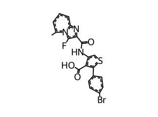 Cc1cccc2nc(C(=O)Nc3csc(-c4ccc(Br)cc4)c3C(=O)O)c(F)n12